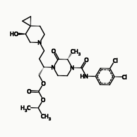 CC(C)OC(=O)OC[C@H](CCN1CCC2(CC2)[C@H](O)C1)N1CCN(C(=O)Nc2ccc(Cl)c(Cl)c2)[C@@H](C)C1=O